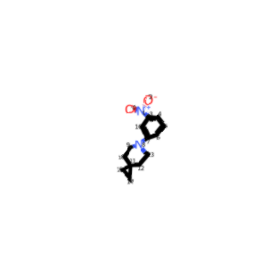 O=[N+]([O-])c1cccc(N2CCC3(CC2)CC3)c1